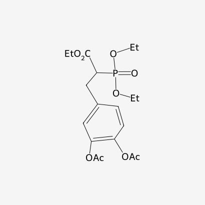 CCOC(=O)C(Cc1ccc(OC(C)=O)c(OC(C)=O)c1)P(=O)(OCC)OCC